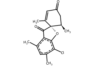 CC1=CC(=O)C[C@@H](C)[C@]12Oc1c(Cl)c(C)cc(C)c1C2=O